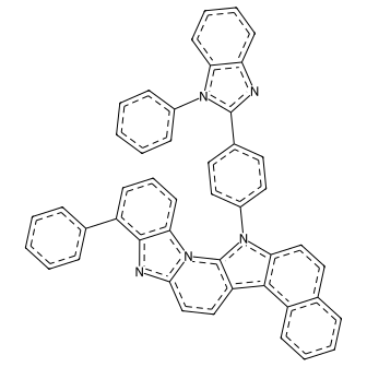 c1ccc(-c2cccc3c2nc2ccc4c5c6ccccc6ccc5n(-c5ccc(-c6nc7ccccc7n6-c6ccccc6)cc5)c4n23)cc1